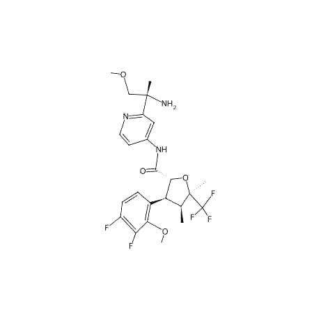 COC[C@](C)(N)c1cc(NC(=O)[C@@H]2O[C@@](C)(C(F)(F)F)[C@@H](C)[C@H]2c2ccc(F)c(F)c2OC)ccn1